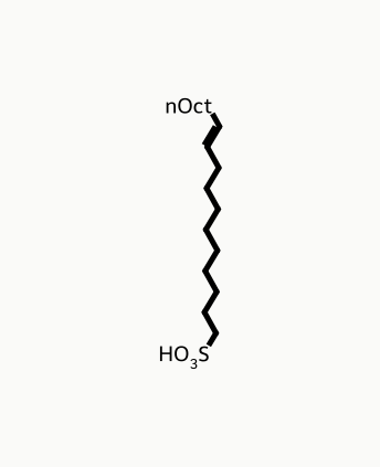 CCCCCCCC/C=C/CCCCCCCCCS(=O)(=O)O